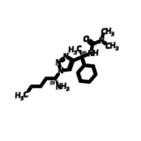 CCCC[C@@H](N)n1cc([C@@](C)(NC(=O)N(C)C)C2CCCCC2)nn1